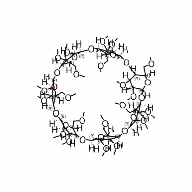 COC[C@H]1O[C@@H]2O[C@H]3[C@H](OC)[C@@H](OC)[C@@H](O[C@H]4[C@H](OC)[C@@H](OC)[C@@H](O[C@H]5[C@H](OC)[C@@H](OC)[C@@H](O[C@H]6[C@H](OC)[C@@H](OC)[C@@H](O[C@H]7[C@H](OC)[C@@H](OC)[C@@H](O[C@H]8[C@H](OC)[C@@H](OC)[C@@H](O[C@H]1[C@H](OC)[C@H]2OC)O[C@@H]8COC)O[C@@H]7COC)O[C@@H]6COC)O[C@@H]5COC)O[C@@H]4COC)O[C@@H]3COC